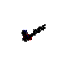 CC/C=C\C/C=C\C/C=C\C/C=C\C/C=C\CCCC(=O)NC(C)C(OC(=O)c1cccnc1)C(C)C